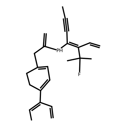 C=C/C(=C(\C#CC)PC(=C)CC1=CC=C(/C(C=C)=C/C)CC1)C(C)(C)F